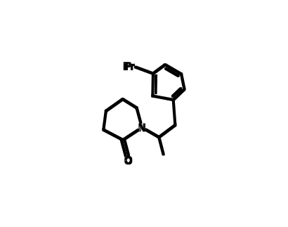 CC(C)c1cccc(CC(C)N2CCCCC2=O)c1